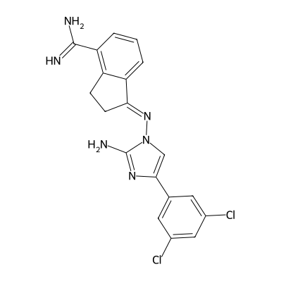 N=C(N)c1cccc2c1CCC2=Nn1cc(-c2cc(Cl)cc(Cl)c2)nc1N